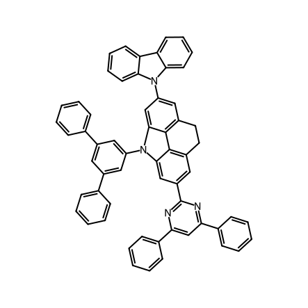 c1ccc(-c2cc(-c3ccccc3)cc(-n3c4cc(-c5nc(-c6ccccc6)cc(-c6ccccc6)n5)cc5c4c4c(cc(-n6c7ccccc7c7ccccc76)cc43)CC5)c2)cc1